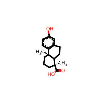 C[C@]1(C(=O)O)CCC[C@]2(C)c3ccc(O)cc3CCC12